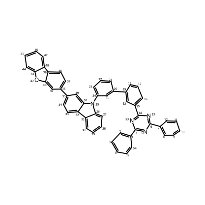 c1ccc(-c2nc(-c3ccccc3)nc(-c3cccc(-c4cccc(-n5c6ccccc6c6ccc(-c7ccc8c(c7)oc7ccccc78)cc65)c4)c3)n2)cc1